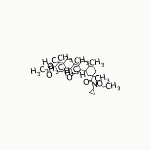 CCON(C(=O)[C@@]1(C)CC[C@]2(C)CC[C@]3(C)C(=CC(=O)[C@@H]4[C@@]5(C)CC[C@H](OC(C)=O)C(C)(C)C5CC[C@]43C)[C@@H]2C1)C1CC1